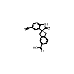 N#Cc1cnc2c(c1)[C@]1(Cc3ccc(C(=O)O)cc3C1)C(=O)N2